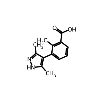 Cc1n[nH]c(C)c1-c1cccc(C(=O)O)c1C